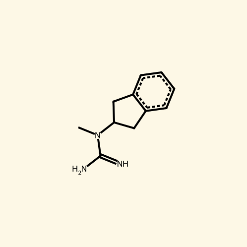 CN(C(=N)N)C1Cc2ccccc2C1